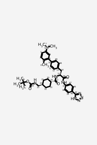 Cc1ccc(N(C)C)cc1-c1ccc(C[C@H](NC(=O)[C@H]2CC[C@H](CNC(=O)OC(C)(C)C)CC2)C(=O)Nc2ccc(-c3nnn[nH]3)cc2)cc1